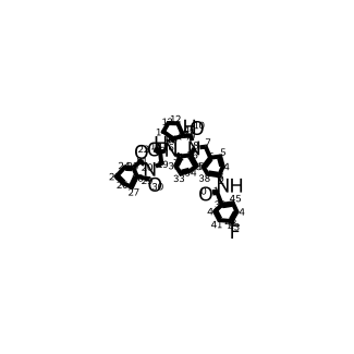 O=C(Nc1ccc(CN2C(=O)[C@H]3CCC[C@H]3N(C(=O)CN3C(=O)c4ccccc4C3=O)c3ccccc32)cc1)c1ccc(F)cc1